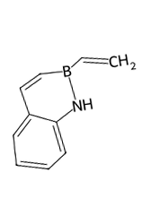 C=CB1C=Cc2ccccc2N1